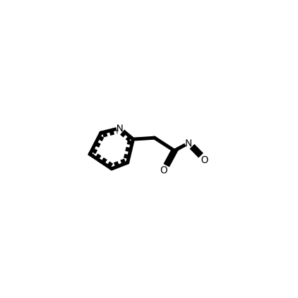 O=NC(=O)Cc1ccccn1